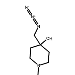 CN1CCC(O)(CN=[N+]=[N-])CC1